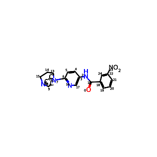 O=C(Nc1ccc(N2CCN3CCC2CC3)nc1)c1cccc([N+](=O)[O-])c1